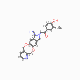 CC(C)(C)c1cc(C(=O)CN2Cc3cc4c(cc3C2=N)OCc2cccnc2CO4)ccc1O